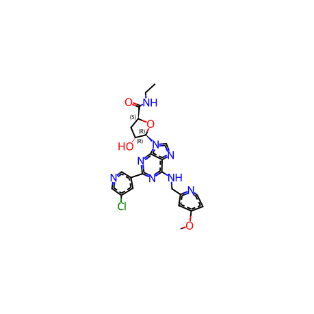 CCNC(=O)[C@@H]1C[C@@H](O)[C@H](n2cnc3c(NCc4cc(OC)ccn4)nc(-c4cncc(Cl)c4)nc32)O1